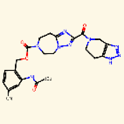 CC(C)(C)C(=O)Nc1cc(C#N)ccc1COC(=O)N1CCc2nc(C(=O)N3CCc4[nH]nnc4C3)nn2CC1